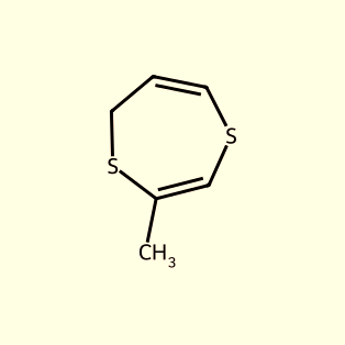 CC1=CSC=CCS1